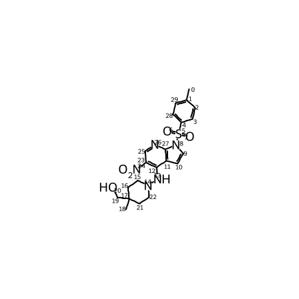 Cc1ccc(S(=O)(=O)n2ccc3c(NN4CCC(C)(CO)CC4)c([N+](=O)[O-])cnc32)cc1